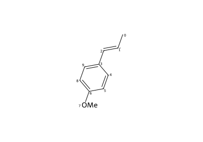 C[C]=Cc1ccc(OC)cc1